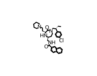 CC[C@@H](CN1CC[C@@H](CNC(=O)c2ccc3ccccc3c2)N[C@@H](CCN2CCCCC2)C1=O)c1ccc(Cl)cc1